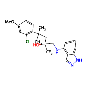 COc1ccc(C(C)(C)CC(O)(CNc2cccc3[nH]ncc23)C(F)(F)F)c(Cl)c1